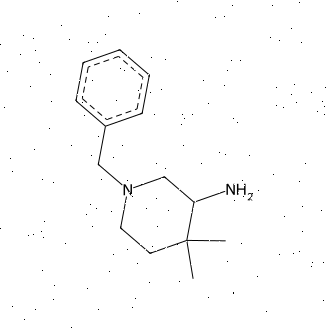 CC1(C)CCN(Cc2ccccc2)CC1N